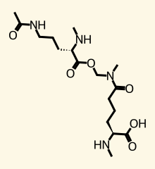 CN[C@@H](CCCC(=O)N(C)COC(=O)[C@H](CCCNC(C)=O)NC)C(=O)O